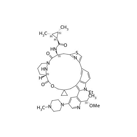 CCn1c(-c2cc(N3CCN(C)CC3)cnc2[C@H](C)OC)c2c3cc(ccc31)-c1csc(n1)C[C@H](NC(=O)[C@H]1[C@H](C)[C@@H]1C)C(=O)N1CCC[C@H](N1)C(=O)OCC1(CC1)C2